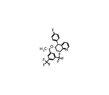 C[C@H](O[C@H]1CCc2ncccc2[C@@H]1c1ccc(F)cc1)c1cc(C(F)(F)F)cc(C(F)(F)F)c1